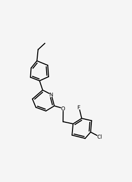 CCc1ccc(-c2cccc(OCc3ccc(Cl)cc3F)n2)cc1